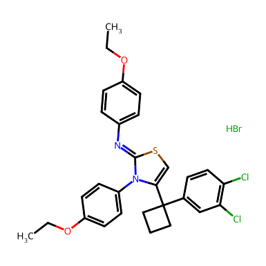 Br.CCOc1ccc(N=c2scc(C3(c4ccc(Cl)c(Cl)c4)CCC3)n2-c2ccc(OCC)cc2)cc1